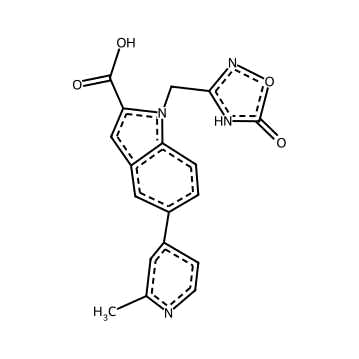 Cc1cc(-c2ccc3c(c2)cc(C(=O)O)n3Cc2noc(=O)[nH]2)ccn1